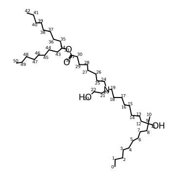 CCCCCCCCCC(C)(O)CCCCCCCCN(CCO)CCCCCCCC(=O)OC(CCCCCCCC)CCCCCCCC